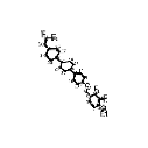 CCOc1ccc(COc2ccc(C3CCC(C4C=CC(C=C(F)F)CC4)CC3)cc2)c(F)c1F